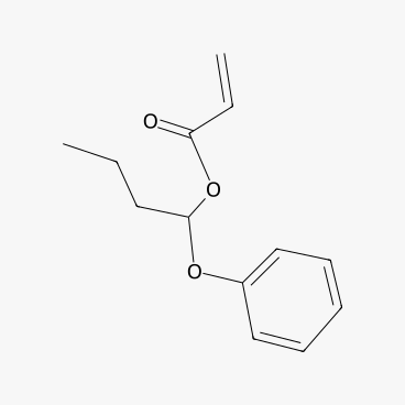 C=CC(=O)OC(CCC)Oc1ccccc1